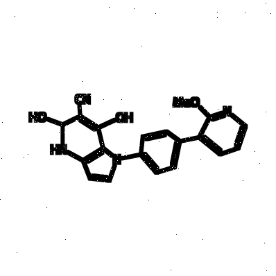 COc1ncccc1-c1ccc(-n2ccc3c2C(O)=C(C#N)C(O)N3)cc1